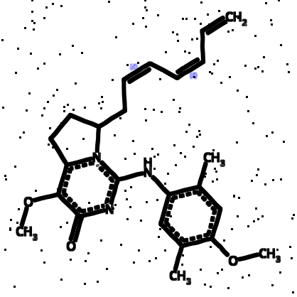 C=C/C=C\C=C/CC1CCc2c(OC)c(=O)nc(Nc3cc(C)c(OC)cc3C)n21